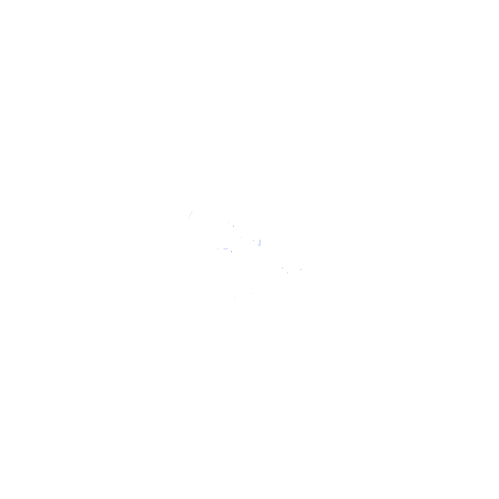 CCc1cc(Br)cc2cnc(N[C@H]3C[C@@H](C)CN(C(=O)OC(C)(C)C)C3)nc12